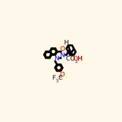 O=C(O)[C@@H](N1CN(Cc2ccc(OC(F)(F)F)cc2)c2c(ccc3ccccc23)C1=O)C12CC3C[C@@H](CC(O)(C3)C1)C2